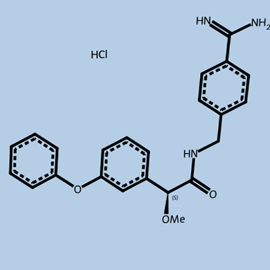 CO[C@H](C(=O)NCc1ccc(C(=N)N)cc1)c1cccc(Oc2ccccc2)c1.Cl